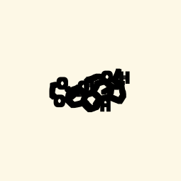 CC1OCCOC23CC4=CC=C5[C@H]6CC[C@H]1[C@@]6(C)CC[C@H]5[C@]4(C)CC2OCCO3